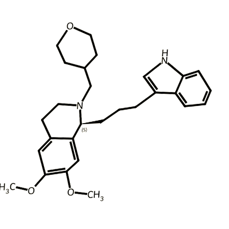 COc1cc2c(cc1OC)[C@H](CCCc1c[nH]c3ccccc13)N(CC1CCOCC1)CC2